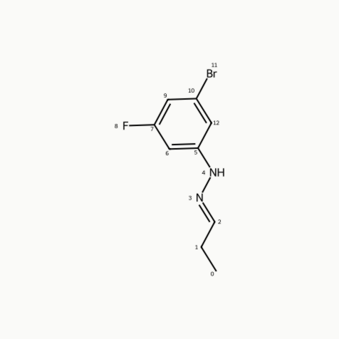 CCC=NNc1cc(F)cc(Br)c1